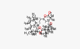 [2H]O[C@@H]1CC(CC[C@@H]2[C@@H]3C(=C([2H])[C@]([2H])(C)C([2H])([2H])C3OC(=O)[C@@]([2H])(C([2H])([2H])[2H])C([2H])([2H])C([2H])([2H])[2H])C([2H])=C([2H])[C@]2([2H])C)OC(=O)C1([2H])[2H]